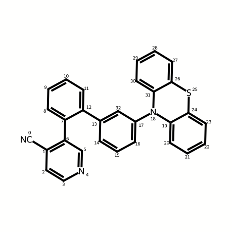 N#Cc1ccncc1-c1ccccc1-c1cccc(N2c3ccccc3Sc3ccccc32)c1